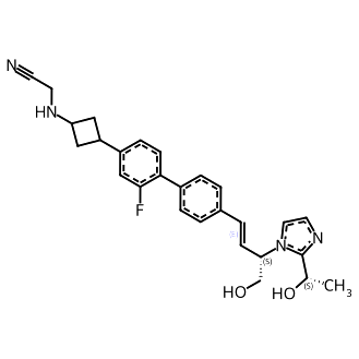 C[C@H](O)c1nccn1[C@@H](/C=C/c1ccc(-c2ccc(C3CC(NCC#N)C3)cc2F)cc1)CO